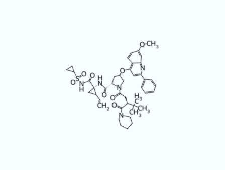 C=CC1C[C@@]1(NC(=O)[C@@H]1C[C@@H](Oc2cc(-c3ccccc3)nc3cc(OC)ccc23)CN1C(=O)C[C@H](C(=O)N1CCCCC1)C(C)(C)C)C(=O)NS(=O)(=O)C1CC1